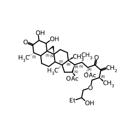 C=C(C(=O)[C@H](OC(C)=O)[C@@H](C)[C@H]1[C@@H](OC(C)=O)C[C@@]2(C)C3CCC4[C@H](C)C(=O)C(O)C(O)[C@@]45C[C@@]35CC[C@]12C)[C@@H](C)COCC(O)CC